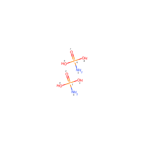 NP(=O)(O)O.NP(=O)(O)O